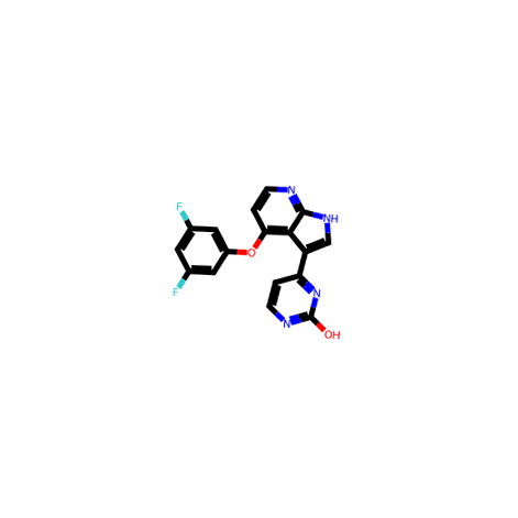 Oc1nccc(-c2c[nH]c3nccc(Oc4cc(F)cc(F)c4)c23)n1